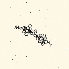 CON(c1cccc(Cl)c1)c1cc2ccccc2c(N=Nc2ccc3c(c2)C(=O)c2cc(N=Nc4c(O)cc5c6c(cccc46)C(=O)N(C)C5=O)ccc2-3)c1O